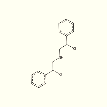 ClC(CNCC(Cl)c1ccccc1)c1ccccc1